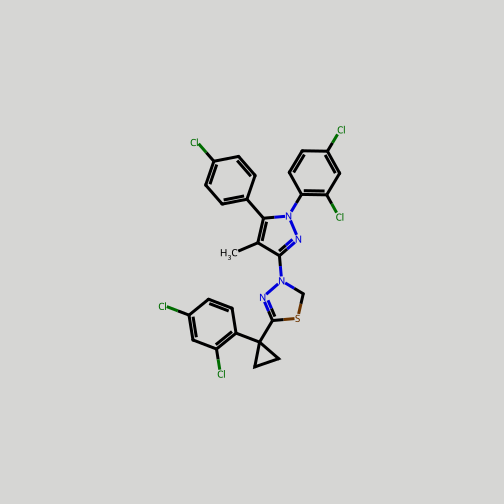 Cc1c(N2CSC(C3(c4ccc(Cl)cc4Cl)CC3)=N2)nn(-c2ccc(Cl)cc2Cl)c1-c1ccc(Cl)cc1